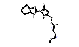 C=N/C=C\C=C(/C)SCc1cc(=O)n(-c2nc3ccccc3[nH]2)[nH]1